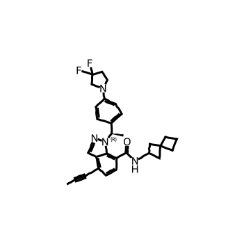 CC#Cc1ccc(C(=O)NC2CC3(CCC3)C2)c2c1cnn2[C@H](C)c1ccc(N2CCC(F)(F)C2)cc1